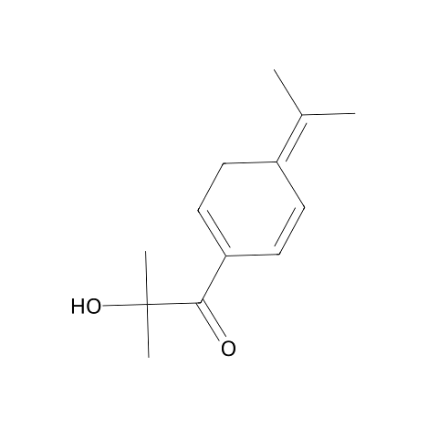 CC(C)=C1C=CC(C(=O)C(C)(C)O)=CC1